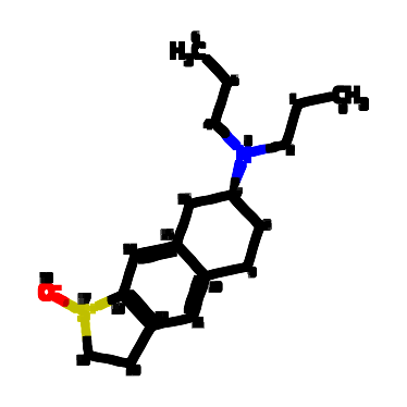 CCCN(CCC)[C@H]1CCc2cc3c(cc2C1)[S+]([O-])CC3